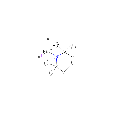 CC1(C)CCCC(C)(C)N1[SiH](I)I